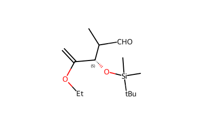 C=C(OCC)[C@@H](O[Si](C)(C)C(C)(C)C)C(C)C=O